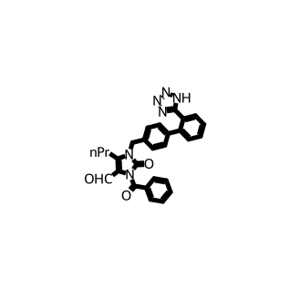 CCCc1c(C=O)n(C(=O)c2ccccc2)c(=O)n1Cc1ccc(-c2ccccc2-c2nnn[nH]2)cc1